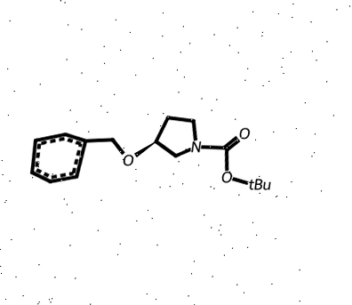 CC(C)(C)OC(=O)N1CC[C@H](OCc2ccccc2)C1